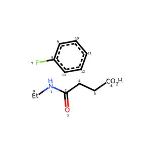 CCNC(=O)CCC(=O)O.Fc1ccccc1